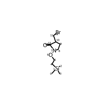 C[Si](C)(C)CCON1CCC(CBr)C1=O